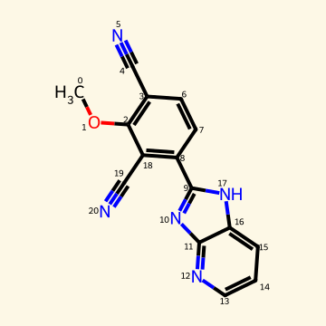 COc1c(C#N)ccc(-c2nc3ncccc3[nH]2)c1C#N